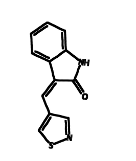 O=C1Nc2ccccc2C1=Cc1cnsc1